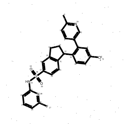 Cc1ccc(-c2cc(C(F)(F)F)ccc2C2CCc3cc(S(=O)(=O)Nc4cccc(F)n4)ccc32)cn1